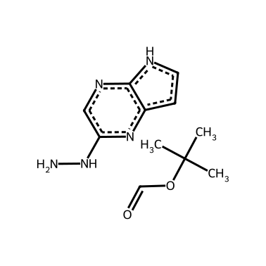 CC(C)(C)OC=O.NNc1cnc2[nH]ccc2n1